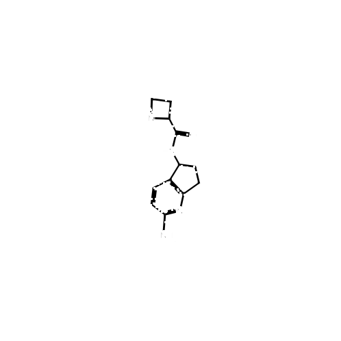 Nc1ccc2c(n1)CCC2NC(=O)C1CCN1